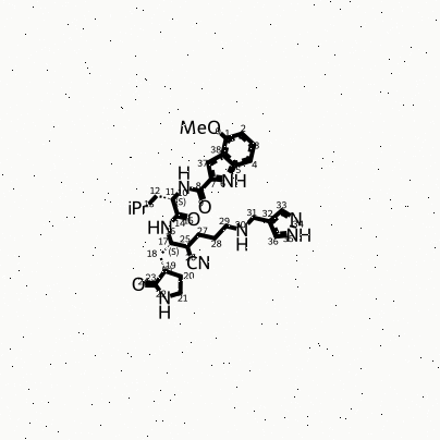 COc1cccc2[nH]c(C(=O)N[C@@H](CC(C)C)C(=O)N[C@@H](C[C@@H]3CCNC3=O)C(C#N)CCCNCc3cn[nH]c3)cc12